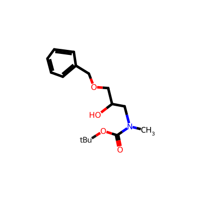 CN(CC(O)COCc1ccccc1)C(=O)OC(C)(C)C